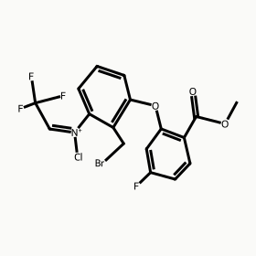 COC(=O)c1ccc(F)cc1Oc1cccc(/[N+](Cl)=C\C(F)(F)F)c1CBr